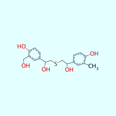 Cc1cc(C(O)CSCC(O)c2ccc(O)c(CO)c2)ccc1O